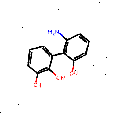 Nc1cccc(O)c1-c1cccc(O)c1O